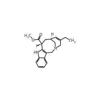 CCC1=C[C@H]2CN(C1)Cc1c([nH]c3ccccc13)[C@](I)(C(=O)OC)C2